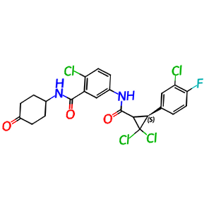 O=C1CCC(NC(=O)c2cc(NC(=O)C3[C@@H](c4ccc(F)c(Cl)c4)C3(Cl)Cl)ccc2Cl)CC1